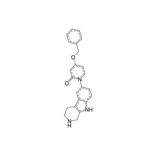 O=c1cc(OCc2ccccc2)ccn1-c1ccc2[nH]c3c(c2c1)CCNC3